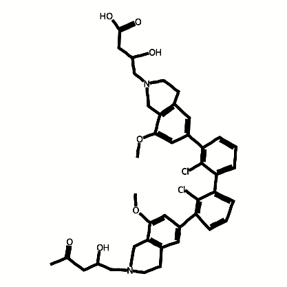 COc1cc(-c2cccc(-c3cccc(-c4cc5c(c(OC)c4)CN(CC(O)CC(=O)O)CC5)c3Cl)c2Cl)cc2c1CN(CC(O)CC(C)=O)CC2